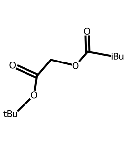 CCC(C)C(=O)OCC(=O)OC(C)(C)C